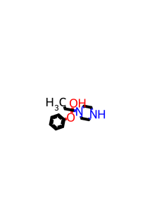 CCC(O)(Oc1ccccc1)N1CCNCC1